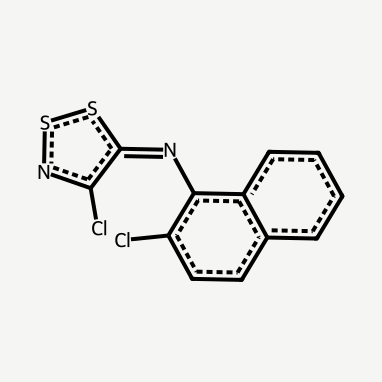 Clc1ccc2ccccc2c1/N=c1/ssnc1Cl